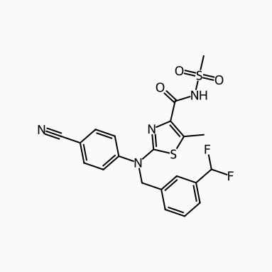 Cc1sc(N(Cc2cccc(C(F)F)c2)c2ccc(C#N)cc2)nc1C(=O)NS(C)(=O)=O